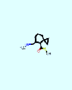 CNCC1CCCC2(CC2)C1C(=O)SC